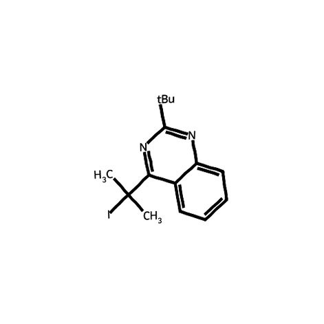 CC(C)(C)c1nc(C(C)(C)I)c2ccccc2n1